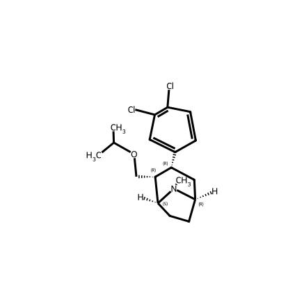 CC(C)OC[C@@H]1[C@H](c2ccc(Cl)c(Cl)c2)C[C@H]2CC[C@@H]1N2C